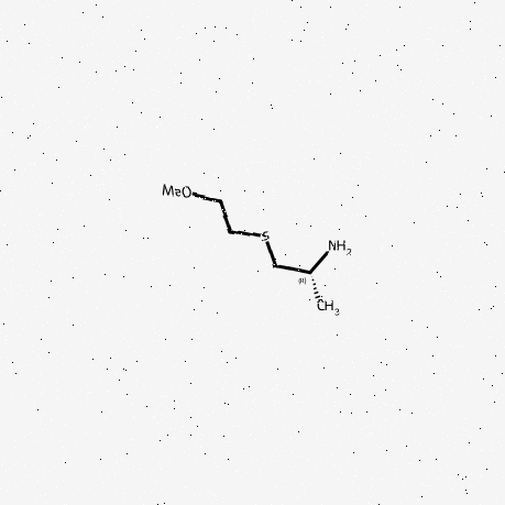 COCCSC[C@@H](C)N